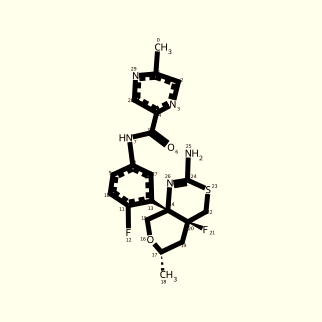 Cc1cnc(C(=O)Nc2ccc(F)c([C@]34CO[C@@H](C)C[C@@]3(F)CSC(N)=N4)c2)cn1